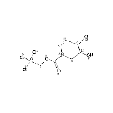 O=C(OCC(Cl)(Cl)Cl)N1CCC(Cl)C(O)C1